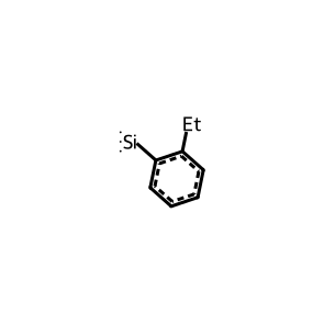 CCc1ccccc1[Si]